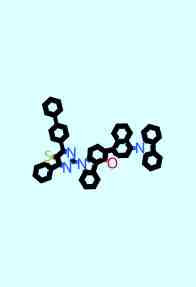 c1ccc(-c2ccc(-c3nc(-n4c5ccccc5c5c6oc7cc(-n8c9ccccc9c9ccccc98)c8ccccc8c7c6ccc54)nc4c3sc3ccccc34)cc2)cc1